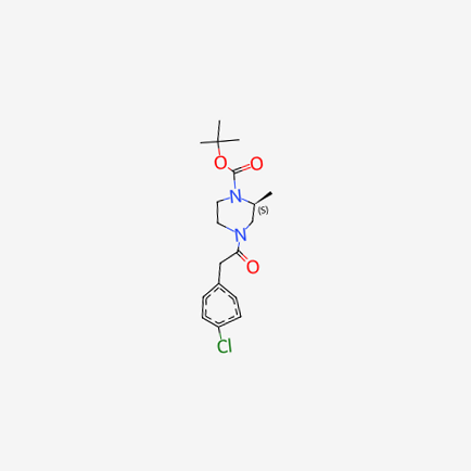 C[C@H]1CN(C(=O)Cc2ccc(Cl)cc2)CCN1C(=O)OC(C)(C)C